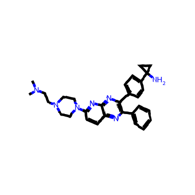 CN(C)CCN1CCN(c2ccc3nc(-c4ccccc4)c(-c4ccc(C5(N)CC5)cc4)nc3n2)CC1